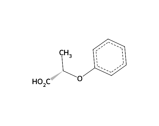 C[C@H](Oc1ccccc1)C(=O)O